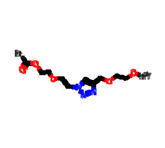 CCCOCCOCc1cn(CCOCCOC(=O)CC)nn1